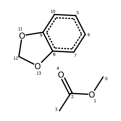 COC(C)=O.c1ccc2c(c1)OCO2